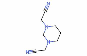 N#CCN1CCCN(CC#N)C1